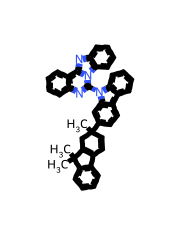 CC1(c2ccc3c4ccccc4n(-c4nc5ccccc5c5nc6ccccc6n45)c3c2)C=CC2=C(C1)C(C)(C)c1ccccc12